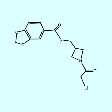 O=C(NCC1CN(C(=O)CCl)C1)c1ccc2c(c1)OCO2